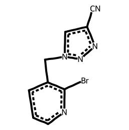 N#Cc1cn(Cc2cccnc2Br)nn1